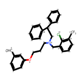 O=Cc1cccc(OCCCN(Cc2cccc(C(F)(F)F)c2Cl)CC(c2ccccc2)c2ccccc2)c1